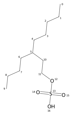 CCCCCC(CCCC)CCOS(=O)(=O)O